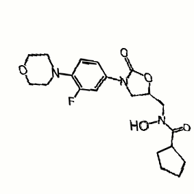 O=C(C1CCCC1)N(O)C[C@H]1CN(c2ccc(N3CCOCC3)c(F)c2)C(=O)O1